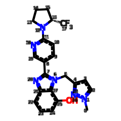 Cn1ccc(Cn2c(-c3ccc(N4CCC[C@@H]4C(F)(F)F)nc3)nc3cccc(O)c32)n1